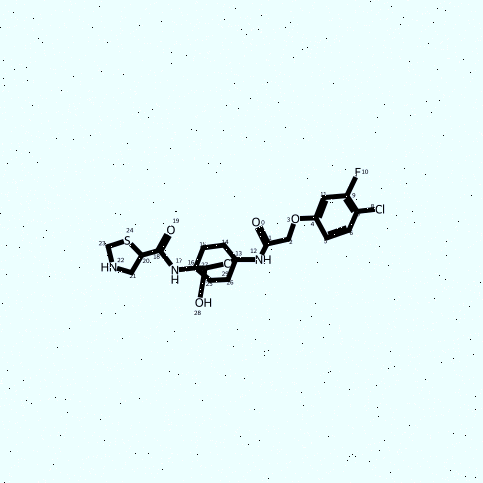 O=C(COc1ccc(Cl)c(F)c1)NC12CCC(NC(=O)C3CNCS3)(CC1)C(O)C2